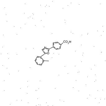 Cc1ccccc1-c1cnc(-c2ccc(C(=O)O)cc2)o1